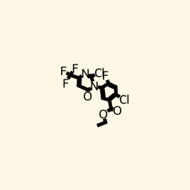 CCOC(=O)c1cc(-n2c(Cl)nc(C(F)(F)F)cc2=O)c(F)cc1Cl